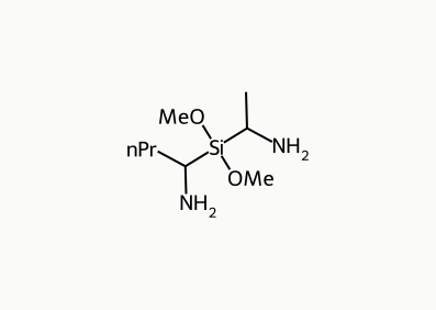 CCCC(N)[Si](OC)(OC)C(C)N